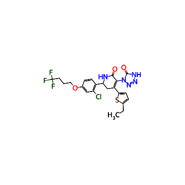 CCc1ccc(C2=C(n3nn[nH]c3=O)C(=O)NC(c3ccc(OCCCC(F)(F)F)cc3Cl)C2)s1